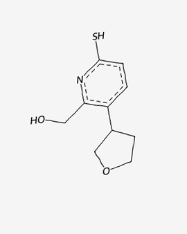 OCc1nc(S)ccc1C1CCOC1